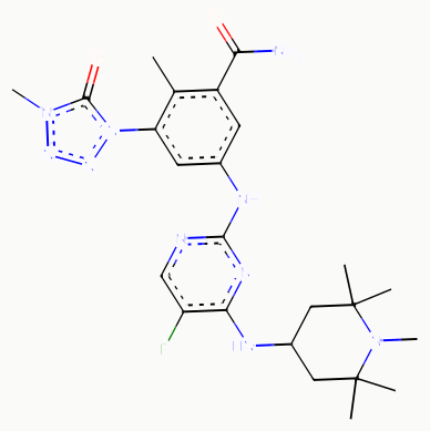 Cc1c(C(N)=O)cc(Nc2ncc(F)c(NC3CC(C)(C)N(C)C(C)(C)C3)n2)cc1-n1nnn(C)c1=O